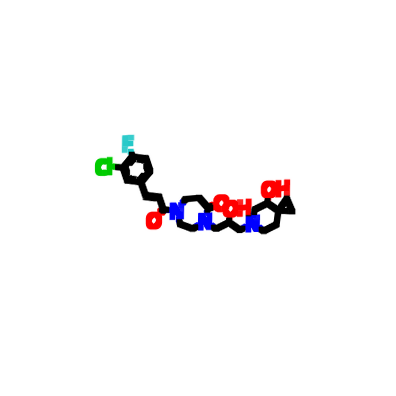 O=C(C=Cc1ccc(F)c(Cl)c1)N1CCC(=O)N(CC(O)CN2CCC3(CC3)C(O)C2)CC1